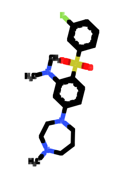 CN1CCCN(c2ccc(S(=O)(=O)c3cccc(F)c3)c(N(C)C)c2)CC1